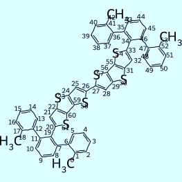 Cc1ccccc1-c1cccc(-c2ccccc2C)c1-c1cc2sc3cc(-c4cc5sc6cc(-c7c(-c8ccccc8C)cccc7-c7ccccc7C)sc6c5s4)sc3c2s1